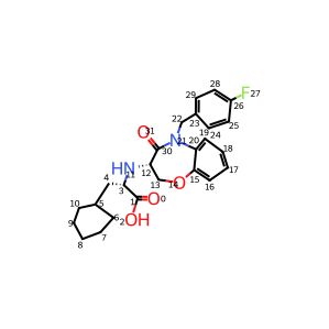 O=C(O)[C@H](CC1CCCCC1)N[C@H]1COc2ccccc2N(Cc2ccc(F)cc2)C1=O